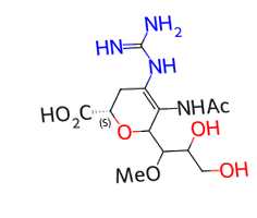 COC(C(O)CO)C1O[C@H](C(=O)O)CC(NC(=N)N)=C1NC(C)=O